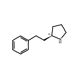 c1ccc(CC[C@H]2CCCN2)cc1